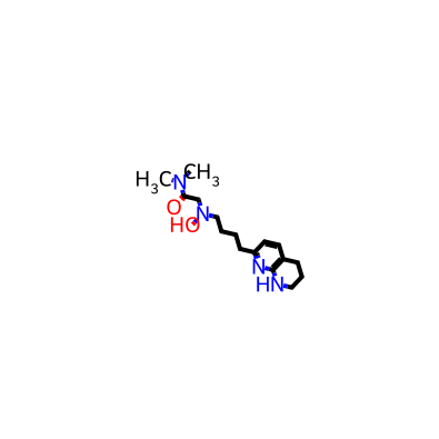 CN(C)C(=O)CN(O)CCCCc1ccc2c(n1)NCCC2